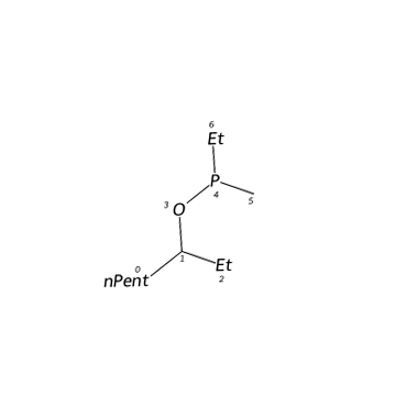 CCCCCC(CC)OP(C)CC